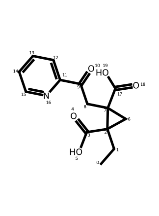 CCC1(C(=O)O)CC1(CC(=O)c1ccccn1)C(=O)O